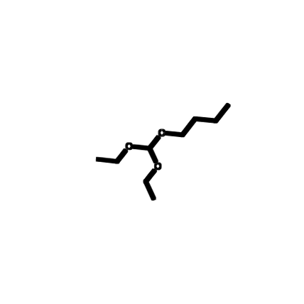 CCCCO[C](OCC)OCC